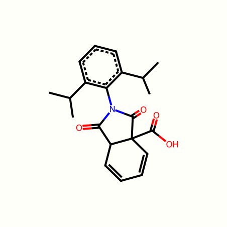 CC(C)c1cccc(C(C)C)c1N1C(=O)C2C=CC=CC2(C(=O)O)C1=O